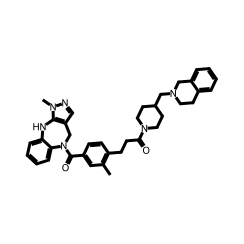 Cc1cc(C(=O)N2Cc3cnn(C)c3Nc3ccccc32)ccc1CCC(=O)N1CCC(CN2CCc3ccccc3C2)CC1